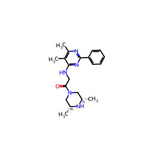 Cc1nc(-c2ccccc2)nc(NCC(=O)N2C[C@@H](C)N[C@@H](C)C2)c1C